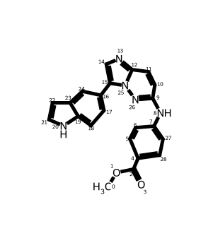 COC(=O)c1ccc(Nc2ccc3ncc(-c4ccc5[nH]ccc5c4)n3n2)cc1